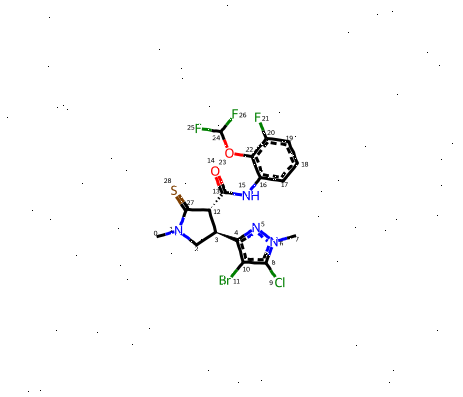 CN1C[C@H](c2nn(C)c(Cl)c2Br)[C@@H](C(=O)Nc2cccc(F)c2OC(F)F)C1=S